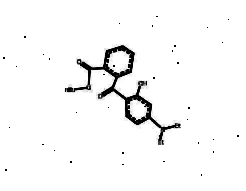 CCCCOC(=O)c1ccccc1C(=O)c1ccc(N(CC)CC)cc1O